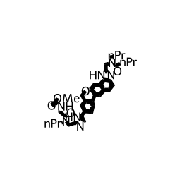 CCCC(=O)N(CCC)Cc1nc2ccc3cc4c(cc3c2[nH]1)OCc1cc(-c2cnc(CN(CCC)C(=O)CNC(=O)OC)[nH]2)ccc1-4